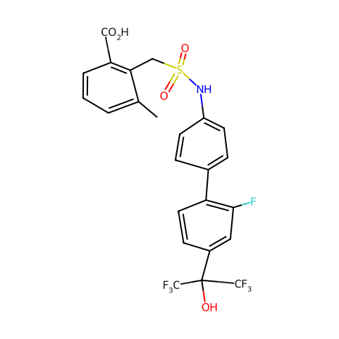 Cc1cccc(C(=O)O)c1CS(=O)(=O)Nc1ccc(-c2ccc(C(O)(C(F)(F)F)C(F)(F)F)cc2F)cc1